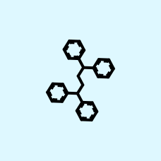 c1ccc(C(CCC(c2ccccc2)c2ccccc2)c2ccccc2)cc1